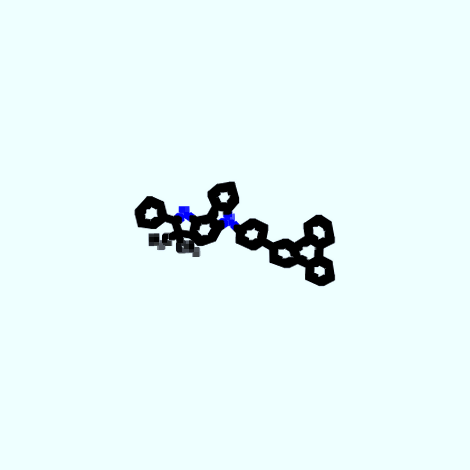 CC1(C)C(c2ccccc2)=Nc2c1ccc1c2c2ccccc2n1-c1ccc(-c2ccc3c4ccccc4c4ccccc4c3c2)cc1